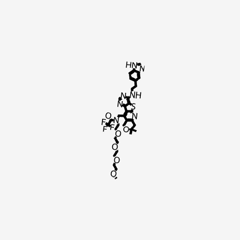 COCCOCCOCCOCCN(Cc1c2c(nc3sc4c(NCCc5ccc6[nH]cnc6c5)ncnc4c13)CC(C)(C)OC2)C(=O)C(F)(F)F